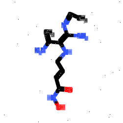 C=C(N)/C(NC/C=C/C(=O)NO)=C(N)\N=C/C